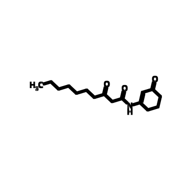 CCCCCCCC(=O)CC(=O)NC1=CC(=O)CCC1